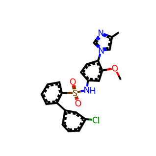 COc1cc(NS(=O)(=O)c2ccccc2-c2cccc(Cl)c2)ccc1-n1cnc(C)c1